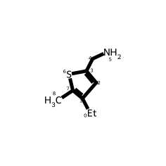 CCc1cc(CN)sc1C